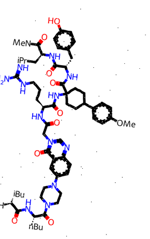 CCCC[C@H](NC(=O)[C@@H](NC(C)=O)[C@@H](C)CC)C(=O)N1CCN(c2ccc3ncn(CC(=O)N[C@@H](CCCNC(=N)N)C(=O)NC4(C(=O)N[C@@H](Cc5ccc(O)cc5)C(=O)N[C@@H](CC(C)C)C(=O)NC)CCC(c5ccc(OC)cc5)CC4)c(=O)c3c2)CC1